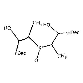 CCCCCCCCCCC(O)C(C)[S+]([O-])C(C)C(O)CCCCCCCCCC